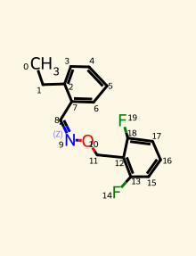 CCc1ccccc1/[C]=N\OCc1c(F)cccc1F